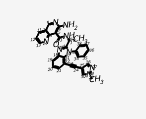 C[C@@H](NC(=O)c1c(N)ncc2cccnc12)c1nc2cccc(C#Cc3cnn(C)c3)c2n1-c1ccccc1